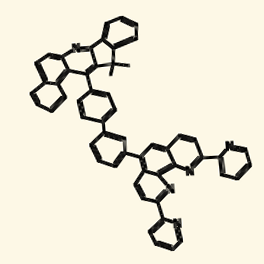 CC1(C)c2ccccc2-c2nc3ccc4ccccc4c3c(-c3ccc(-c4cccc(-c5cc6ccc(-c7ccccn7)nc6c6nc(-c7ccccn7)ccc56)c4)cc3)c21